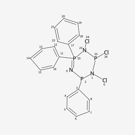 ClN1P(c2ccccc2)N=P(c2ccccc2)(c2ccccc2)N(Cl)P1Cl